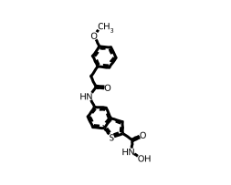 COc1cccc(CC(=O)Nc2ccc3sc(C(=O)NO)cc3c2)c1